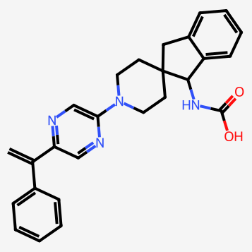 C=C(c1ccccc1)c1cnc(N2CCC3(CC2)Cc2ccccc2C3NC(=O)O)cn1